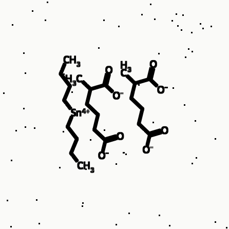 CC(CCCC(=O)[O-])C(=O)[O-].CC(CCCC(=O)[O-])C(=O)[O-].CCC[CH2][Sn+4][CH2]CCC